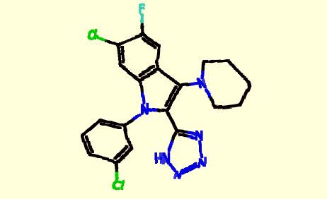 Fc1cc2c(N3CCCCC3)c(-c3nnn[nH]3)n(-c3cccc(Cl)c3)c2cc1Cl